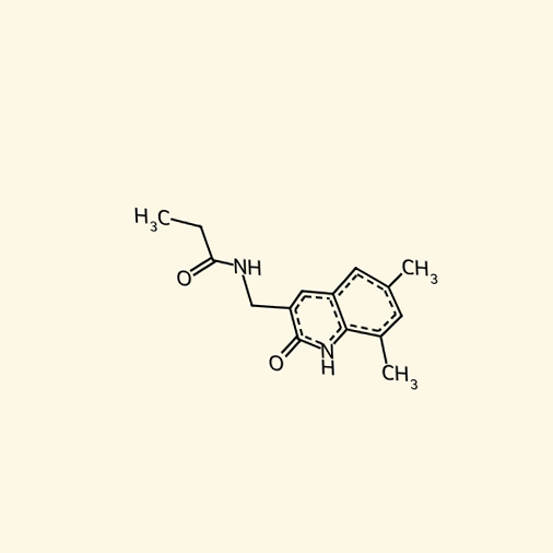 CCC(=O)NCc1cc2cc(C)cc(C)c2[nH]c1=O